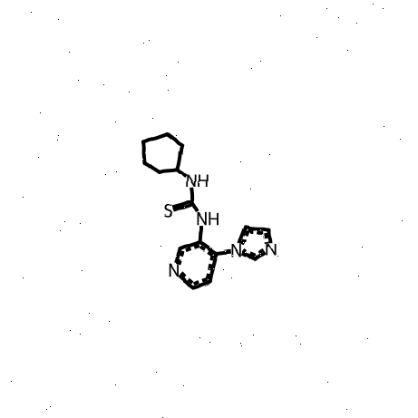 S=C(Nc1cnccc1-n1ccnc1)NC1CCCCC1